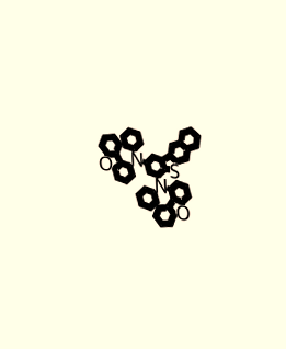 c1ccc(N(c2cc(N(c3ccccc3)c3cccc4oc5ccccc5c34)c3sc4cc5ccccc5cc4c3c2)c2cccc3oc4ccccc4c23)cc1